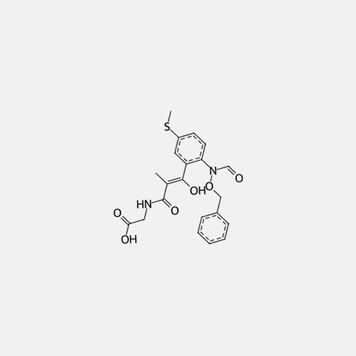 CSc1ccc(N(C=O)OCc2ccccc2)c(/C(O)=C(\C)C(=O)NCC(=O)O)c1